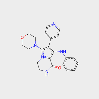 O=C1NCCn2c1c(Nc1ccccc1)c(-c1ccncc1)c2N1CCOCC1